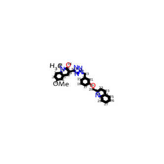 COc1ccc2c(c1)cc(-c1nnn(Cc3cccc(OCc4ccc5ccccc5n4)c3)n1)c(=O)n2C